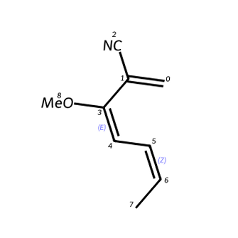 C=C(C#N)/C(=C\C=C/C)OC